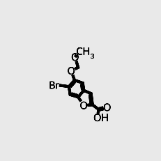 COCOc1cc2cc(C(=O)O)oc2cc1Br